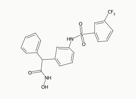 O=C(NO)C(c1ccccc1)c1cccc(NS(=O)(=O)c2cccc(C(F)(F)F)c2)c1